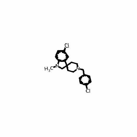 CN1CC2(CCN(Cc3ccc(Cl)cc3)CC2)c2cc(Cl)ccc21